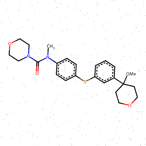 COC1(c2cccc(Sc3ccc(N(C)C(=O)N4CCOCC4)cc3)c2)CCOCC1